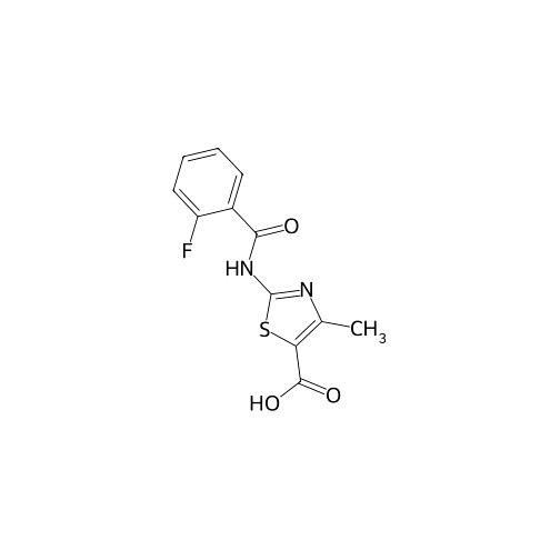 Cc1nc(NC(=O)c2ccccc2F)sc1C(=O)O